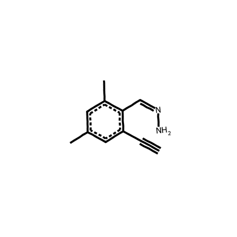 C#Cc1cc(C)cc(C)c1/C=N\N